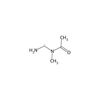 CC(=O)N(C)[CH]N